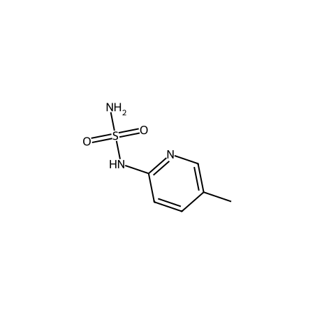 Cc1ccc(NS(N)(=O)=O)nc1